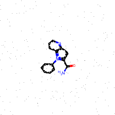 NC(=O)c1cc2ncccc2n1-c1ccccc1